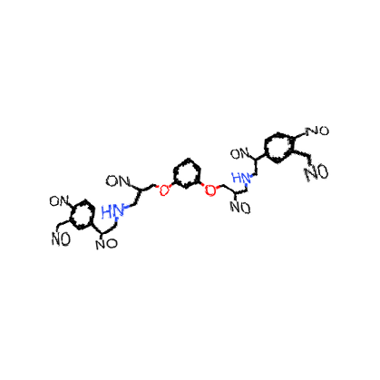 O=NCc1cc(C(CNCC(COc2cccc(OCC(CNCC(N=O)c3ccc(N=O)c(CN=O)c3)N=O)c2)N=O)N=O)ccc1N=O